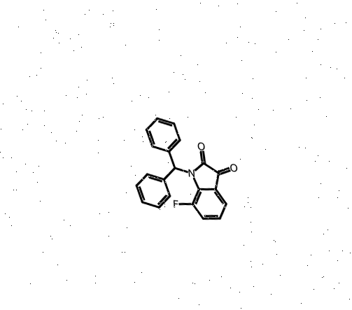 O=C1C(=O)N(C(c2ccccc2)c2ccccc2)c2c(F)cccc21